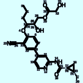 CCC[C@H](Oc1ccc(-c2ccnc(NC(=O)[C@@H]3C[C@@H]3F)c2)cc1C#N)[C@H](O)COC(=O)CO